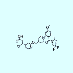 COc1ccc(C(=O)N(CC(F)(F)F)C(C)C)c(N2CCC(COc3cc(C(CC(=O)O)C4CC4)ccn3)CC2)c1